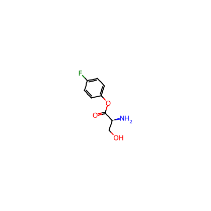 N[C@@H](CO)C(=O)Oc1ccc(F)cc1